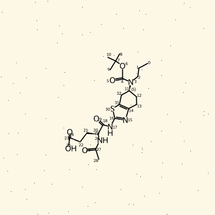 CCCN(C(=O)OC(C)(C)C)[C@H]1CCc2nc(NC(=O)[C@H](CCC(=O)O)NC(C)=O)sc2C1